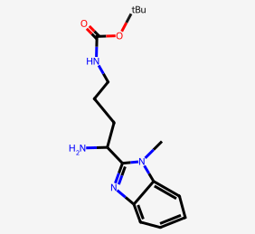 Cn1c(C(N)CCCNC(=O)OC(C)(C)C)nc2ccccc21